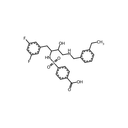 CCc1cccc(CNCC(O)C(Cc2cc(F)cc(F)c2)NS(=O)(=O)c2ccc(C(=O)O)cc2)c1